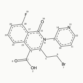 O=C(O)c1c(CCBr)n(-c2cccnc2)c(=O)c2c(F)cccc12